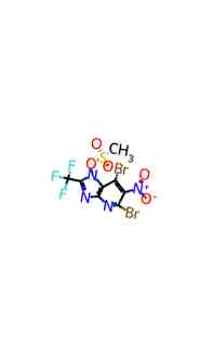 CS(=O)(=O)On1c(C(F)(F)F)nc2nc(Br)c([N+](=O)[O-])c(Br)c21